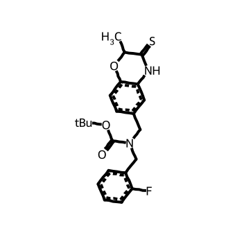 CC1Oc2ccc(CN(Cc3ccccc3F)C(=O)OC(C)(C)C)cc2NC1=S